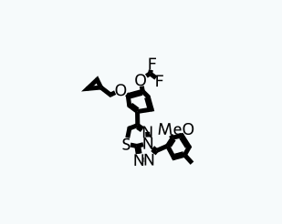 COc1ccc(C)cc1-c1nnc2n1N=C(c1ccc(OC(F)F)c(OCC3CC3)c1)CS2